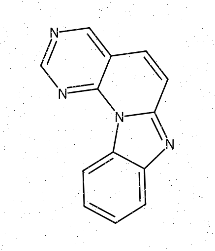 c1ccc2c(c1)nc1ccc3cncnc3n12